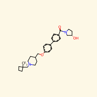 O=C(c1ccc(-c2ccc(OCC3CCN(CC4(C(F)(F)F)CCC4)CC3)cc2)cc1)N1CC[C@H](O)C1